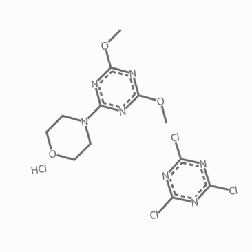 COc1nc(OC)nc(N2CCOCC2)n1.Cl.Clc1nc(Cl)nc(Cl)n1